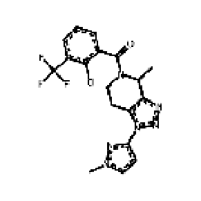 CC1c2nnn(-c3ccn(C)n3)c2CCN1C(=O)c1cccc(C(F)(F)F)c1Cl